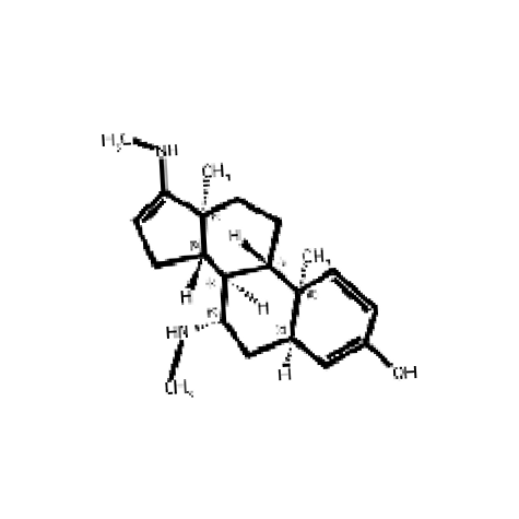 CNC1=CC[C@H]2[C@@H]3[C@@H](NC)C[C@@H]4C=C(O)C=C[C@]4(C)[C@H]3CC[C@]12C